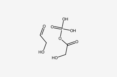 O=C(CO)OP(=O)(O)O.O=CCO